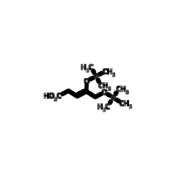 C[Si](C)(C)OCC(=CCC(=O)O)O[Si](C)(C)C